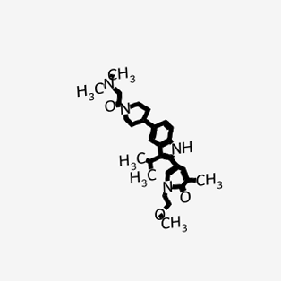 COCCn1cc(-c2[nH]c3ccc(C4CCN(C(=O)CN(C)C)CC4)cc3c2C(C)C)cc(C)c1=O